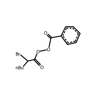 CCCCC(Br)C(=O)OOC(=O)c1ccccc1